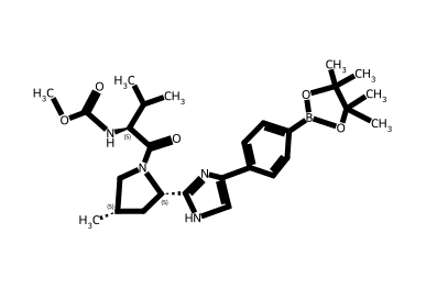 COC(=O)N[C@H](C(=O)N1C[C@@H](C)C[C@H]1c1nc(-c2ccc(B3OC(C)(C)C(C)(C)O3)cc2)c[nH]1)C(C)C